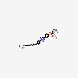 CCCCCCCCCc1ccc(-c2ncc(-c3ccc(OC(=O)C(C)CC)cc3)cn2)cc1